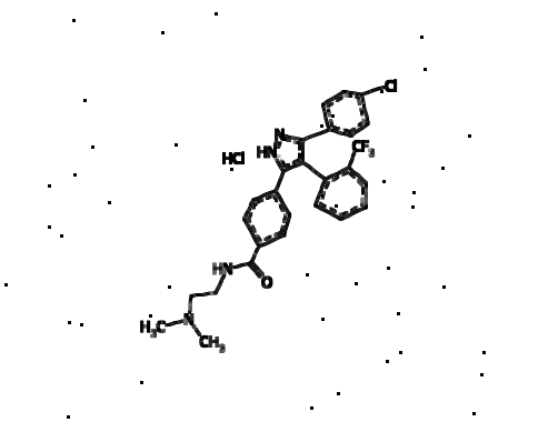 CN(C)CCNC(=O)c1ccc(-c2[nH]nc(-c3ccc(Cl)cc3)c2-c2ccccc2C(F)(F)F)cc1.Cl